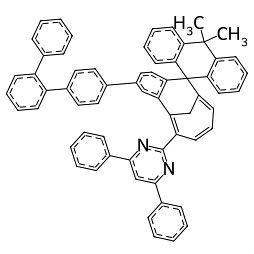 CC1(C)c2ccccc2C2(C3=CC=CC(c4nc(-c5ccccc5)cc(-c5ccccc5)n4)=C(C3)c3cc(-c4ccc(-c5ccccc5-c5ccccc5)cc4)ccc32)c2ccccc21